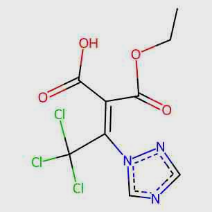 CCOC(=O)C(C(=O)O)=C(n1cncn1)C(Cl)(Cl)Cl